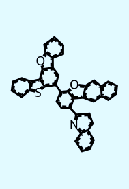 c1ccc2cc3c(cc2c1)oc1c(-c2cc4c5ccccc5oc4c4c2sc2ccccc24)ccc(-c2ccc4ccccc4n2)c13